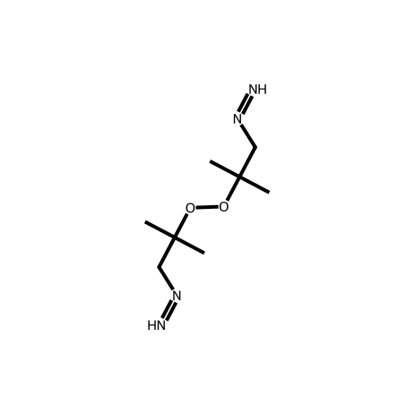 CC(C)(CN=N)OOC(C)(C)CN=N